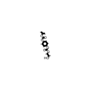 CC(C)OC(=O)OC1CCC(OC(=O)OCCO)CC1